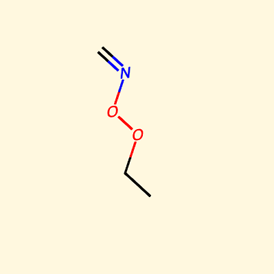 C=NOOCC